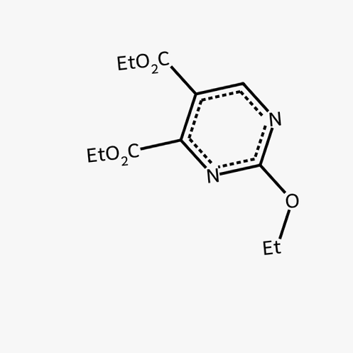 CCOC(=O)c1cnc(OCC)nc1C(=O)OCC